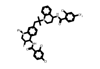 CC(C)N1CC(F)C(NC(=O)c2ccc(Cl)cc2Cl)c2ccc(CC(C)(C)N3CCC(NC(=O)c4ccc(C(F)(F)F)cc4Cl)c4ccccc43)cc21